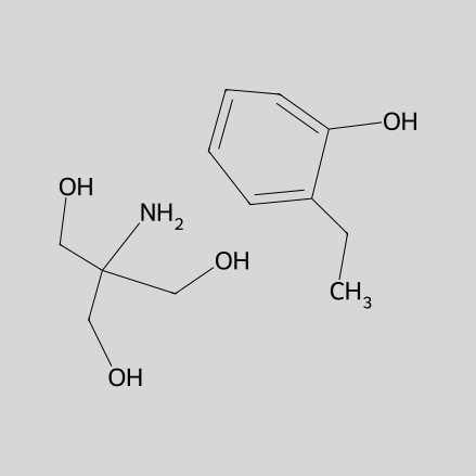 CCc1ccccc1O.NC(CO)(CO)CO